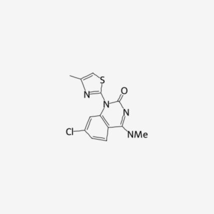 CNc1nc(=O)n(-c2nc(C)cs2)c2cc(Cl)ccc12